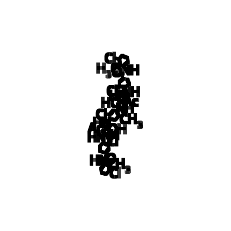 CC(=O)/C(NNc1ccc(C(=O)Nc2cccc(Cl)c2C)cc1Cl)=C(/O)Nc1cc(Cl)c(N/C(O)=C(/NNc2ccc(C(=O)Nc3cccc(Cl)c3C)cc2Cl)C(C)=O)cc1C